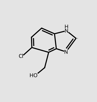 OCc1c(Cl)ccc2[nH][c]nc12